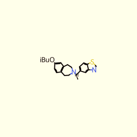 CC(C)COc1ccc2c(c1)CCN([C@H](C)c1ccc3scnc3c1)CC2